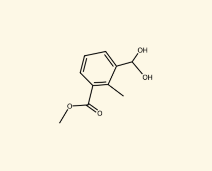 COC(=O)c1cccc(C(O)O)c1C